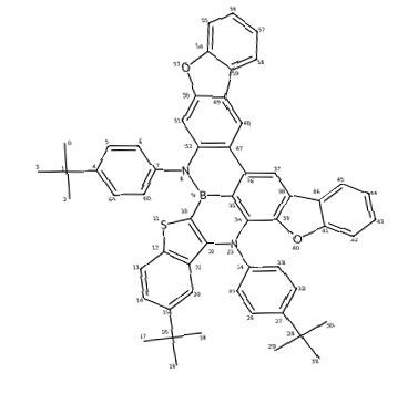 CC(C)(C)c1ccc(N2B3c4sc5ccc(C(C)(C)C)cc5c4N(c4ccc(C(C)(C)C)cc4)c4c3c(cc3c4oc4ccccc43)-c3cc4c(cc32)oc2ccccc24)cc1